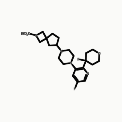 CCOC(=O)N1CC2(CCC(N3CCN(c4cc(F)cnc4C4(F)CCOCC4)CC3)C2)C1